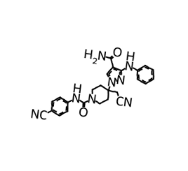 N#CCC1(n2cc(C(N)=O)c(Nc3ccccc3)n2)CCN(C(=O)Nc2ccc(C#N)cc2)CC1